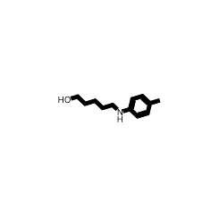 Cc1ccc(NCCCCCO)cc1